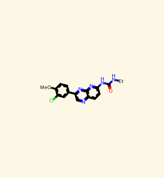 CCNC(=O)Nc1ccc2ncc(-c3ccc(OC)c(Cl)c3)nc2n1